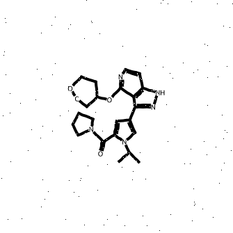 CC(C)n1cc(-c2n[nH]c3ccnc(OC4CCOCC4)c23)cc1C(=O)N1CCCC1